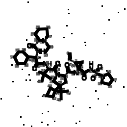 C=C[C@@H]1C[C@]1(NC(=O)[C@@H]1C[C@@]2(CN1C(=O)[C@@H](NC(=O)[C@@H](NC(=O)[C@@H]1CCCCN1CC)C1CCCCC1)C(C)(C)C)C(C)(C)C21CCC1)C(=O)NS(=O)(=O)N1CCCC1